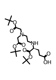 CC(C)(C)OC(=O)CN(CCN[C@@H](CCC(=O)O)C(=O)OC(C)(C)C)CC(=O)OC(C)(C)C